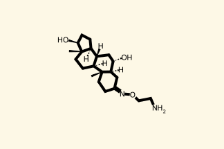 C[C@]12CC/C(=N/OCCN)C[C@@H]1[C@@H](O)C[C@@H]1[C@@H]2CC[C@]2(C)[C@@H](O)CC[C@@H]12